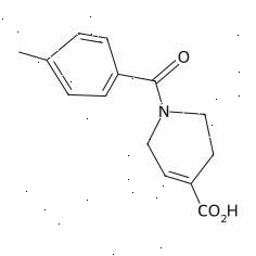 Cc1ccc(C(=O)N2CC=C(C(=O)O)CC2)cc1